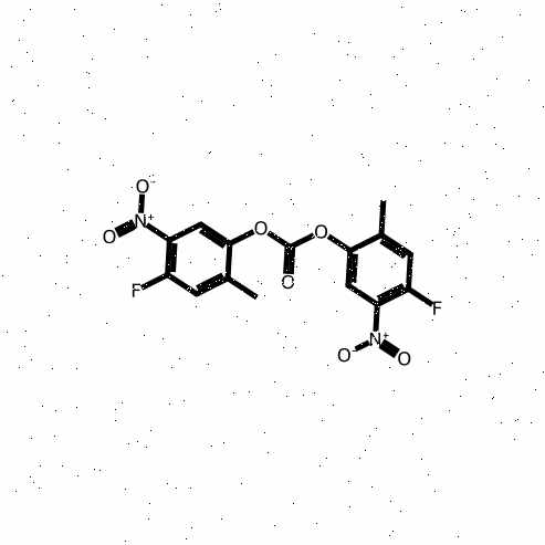 Cc1cc(F)c([N+](=O)[O-])cc1OC(=O)Oc1cc([N+](=O)[O-])c(F)cc1C